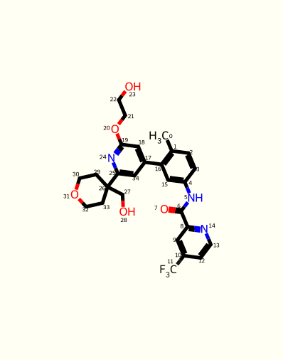 Cc1ccc(NC(=O)c2cc(C(F)(F)F)ccn2)cc1-c1cc(OCCO)nc(C2(CO)CCOCC2)c1